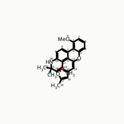 COc1cccc2c1-c1ccc3c(c1/C(=C\c1cc(C)on1)O2)C(C)=CC(C)(C)N3